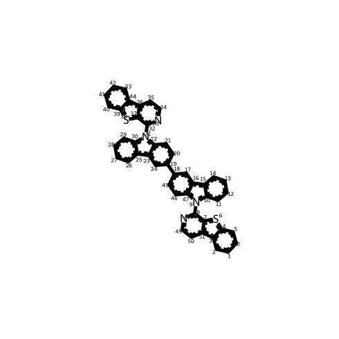 c1ccc2c(c1)sc1c(-n3c4ccccc4c4cc(-c5ccc6c(c5)c5ccccc5n6-c5nccc6c5sc5ccccc56)ccc43)nccc12